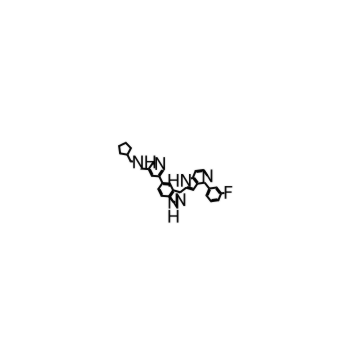 Fc1cccc(-c2nccc3[nH]c(-c4n[nH]c5ccc(-c6cncc(CNCC7CCCC7)c6)cc45)cc23)c1